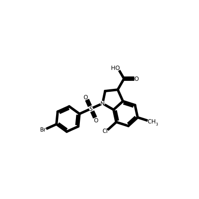 Cc1cc(Cl)c2c(c1)C(C(=O)O)CN2S(=O)(=O)c1ccc(Br)cc1